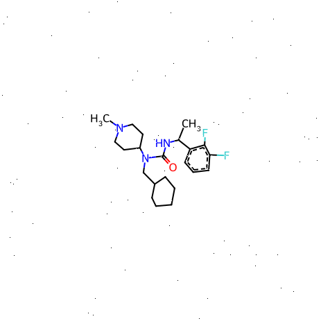 CC(NC(=O)N(CC1CCCCC1)C1CCN(C)CC1)c1cccc(F)c1F